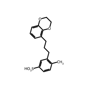 Cc1ccc(S(=O)(=O)O)cc1CCCc1cccc2c1OCCO2